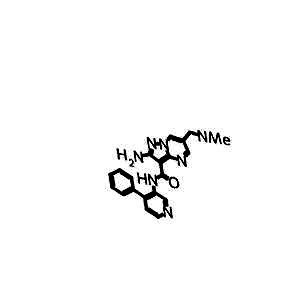 CNCc1cnc2c(C(=O)Nc3cnccc3-c3ccccc3)c(N)nn2c1